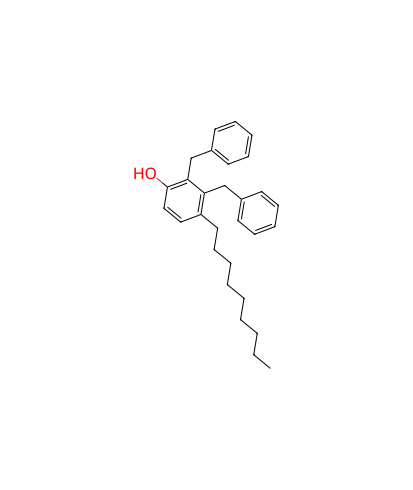 CCCCCCCCCc1ccc(O)c(Cc2ccccc2)c1Cc1ccccc1